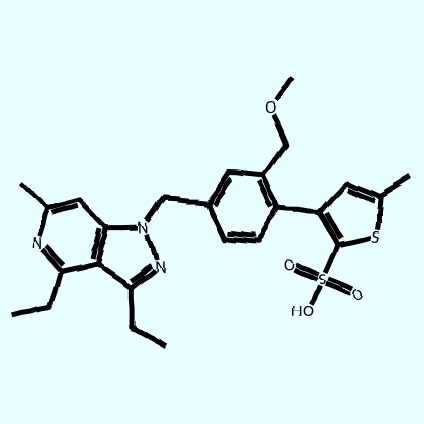 CCc1nc(C)cc2c1c(CC)nn2Cc1ccc(-c2cc(C)sc2S(=O)(=O)O)c(COC)c1